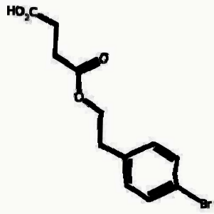 O=C(O)CCC(=O)OCCc1ccc(Br)cc1